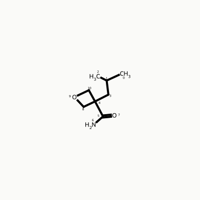 CC(C)CC1(C(N)=O)COC1